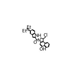 CCN(CC)c1ccc2[nH]c(C(=O)N3CC(CCl)c4c3cc(O)c3ccccc43)cc2c1